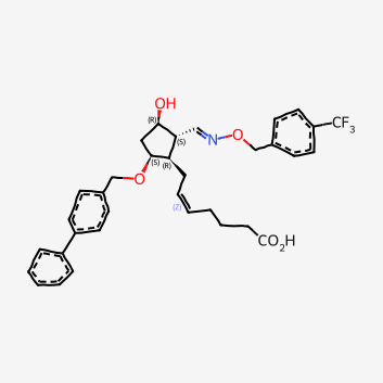 O=C(O)CCC/C=C\C[C@@H]1[C@@H](C=NOCc2ccc(C(F)(F)F)cc2)[C@H](O)C[C@@H]1OCc1ccc(-c2ccccc2)cc1